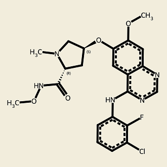 CONC(=O)[C@H]1C[C@H](Oc2cc3c(Nc4cccc(Cl)c4F)ncnc3cc2OC)CN1C